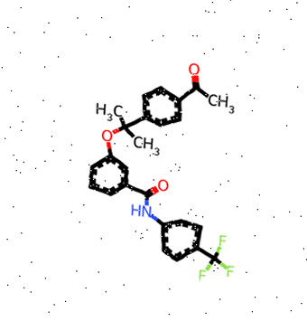 CC(=O)c1ccc(C(C)(C)Oc2cccc(C(=O)Nc3ccc(C(F)(F)F)cc3)c2)cc1